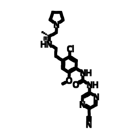 COc1cc(CCN[C@H](C)CN2CCCC2)c(Cl)cc1NC(=O)Nc1cnc(C#N)cn1